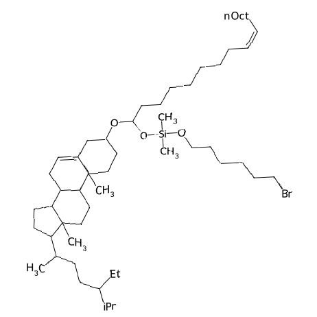 CCCCCCCC/C=C\CCCCCCCC(OC1CCC2(C)C(=CCC3C2CCC2(C)C(C(C)CCC(CC)C(C)C)CCC32)C1)O[Si](C)(C)OCCCCCCBr